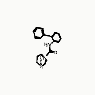 O=C(Nc1ccccc1-c1ccccc1)N1CCN2CCC1CC2